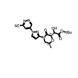 C[C@H]1CN(c2ccn(-c3cnnc(C#N)c3)n2)C(=O)[C@@H](C(O)C(=O)OC(C)(C)C)O1